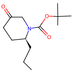 CCC[C@H]1CCC(=O)CN1C(=O)OC(C)(C)C